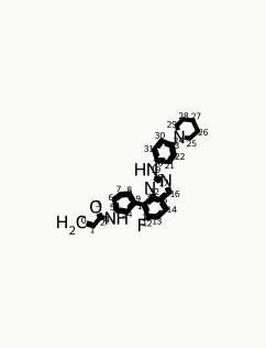 C=CC(=O)Nc1cccc(-c2c(F)ccc3cnc(Nc4ccc(N5CCCCC5)cc4)nc23)c1